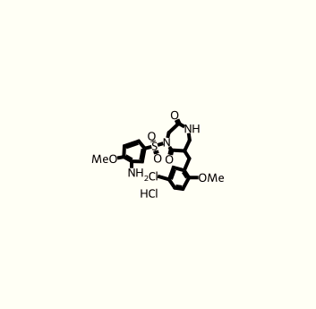 COc1ccc(S(=O)(=O)N2CC(=O)NCC(Cc3cc(Cl)ccc3OC)C2=O)cc1N.Cl